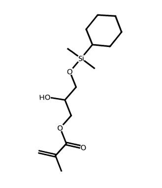 C=C(C)C(=O)OCC(O)CO[Si](C)(C)C1CCCCC1